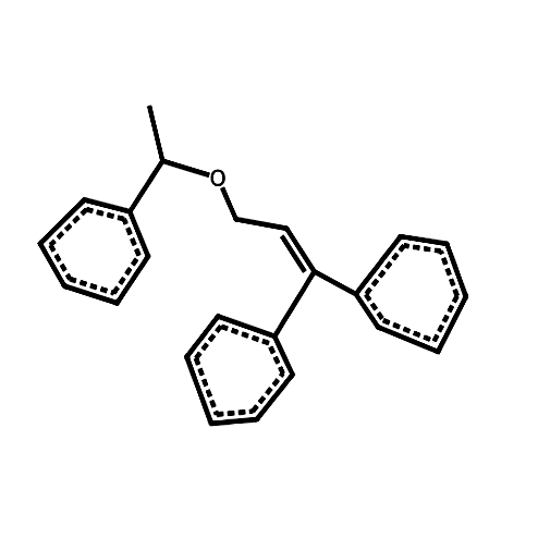 CC(OCC=C(c1ccccc1)c1ccccc1)c1ccccc1